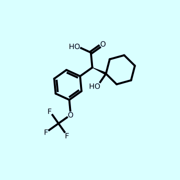 O=C(O)[C@H](c1cccc(OC(F)(F)F)c1)C1(O)CCCCC1